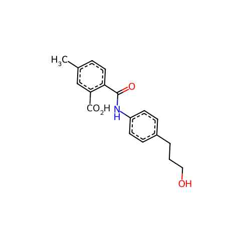 Cc1ccc(C(=O)Nc2ccc(CCCO)cc2)c(C(=O)O)c1